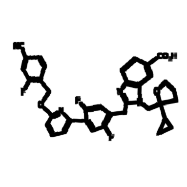 N#Cc1ccc(COc2cccc(-c3cc(F)c(Cc4nc5ccc(C(=O)O)cc5n4CC4(C5CC5)CCCO4)cc3F)n2)c(F)c1